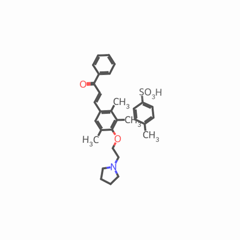 Cc1cc(C=CC(=O)c2ccccc2)c(C)c(C)c1OCCN1CCCC1.Cc1ccc(S(=O)(=O)O)cc1